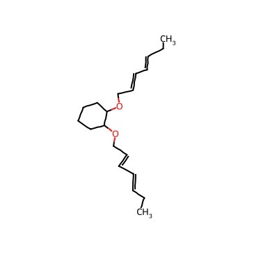 CCC=CC=CCOC1CCCCC1OCC=CC=CCC